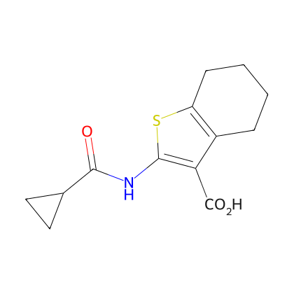 O=C(O)c1c(NC(=O)C2CC2)sc2c1CCCC2